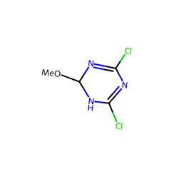 COC1N=C(Cl)N=C(Cl)N1